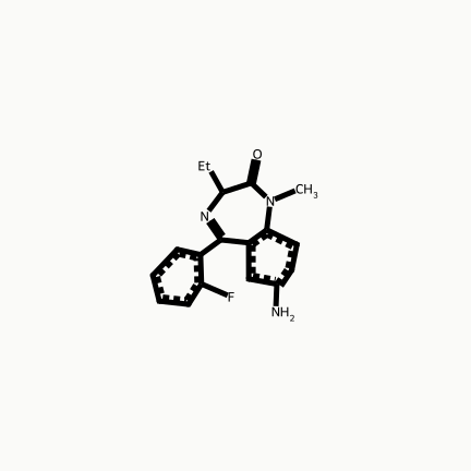 CCC1N=C(c2ccccc2F)c2cc(N)ccc2N(C)C1=O